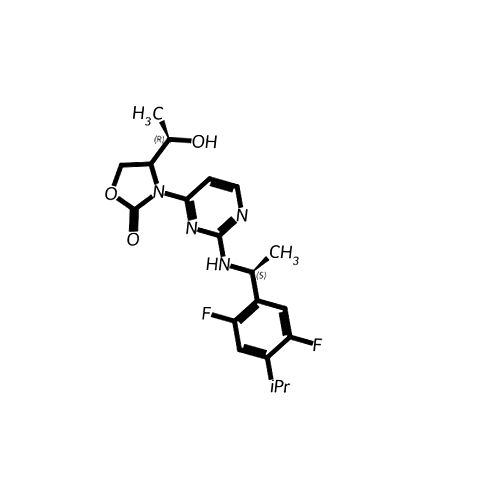 CC(C)c1cc(F)c([C@H](C)Nc2nccc(N3C(=O)OCC3[C@@H](C)O)n2)cc1F